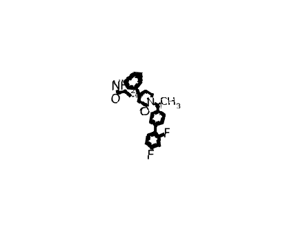 C[C@@H](c1ccc(-c2ccc(F)cc2F)cc1)N1CC[C@](CCC(N)=O)(c2ccccc2)CC1=O